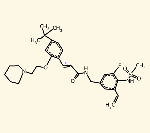 C=Cc1cc(CNC(=O)/C=C/c2ccc(C(C)(C)C)cc2OCCN2CCCCC2)cc(F)c1NS(C)(=O)=O